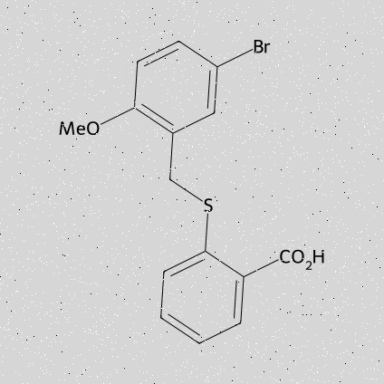 COc1ccc(Br)cc1CSc1ccccc1C(=O)O